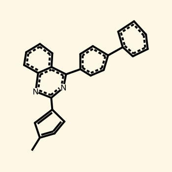 CC1=C=CC(c2nc(-c3ccc(-c4ccccc4)cc3)c3ccccc3n2)=C1